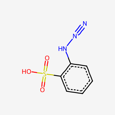 N#[N+]Nc1ccccc1S(=O)(=O)O